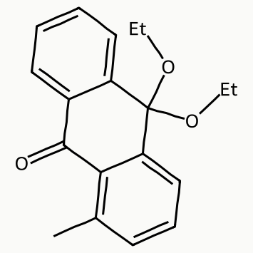 CCOC1(OCC)c2ccccc2C(=O)c2c(C)cccc21